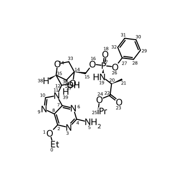 CCOc1nc(N)nc2c1ncn2C1O[C@@]2(CO[P@@](=O)(N[C@@H](C)C(=O)OC(C)C)Oc3ccccc3)CO[C@@H]1[C@@H]2O